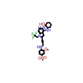 COc1cc(S(C)(=O)=O)ccc1NCC#Cc1cc2c(N[C@@H]3CCCC[C@@]3(N)O)cccc2n1CC(F)(F)F